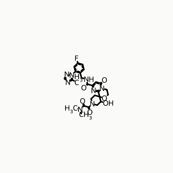 Cc1ncnn1-c1cc(F)ccc1CNC(=O)c1cc(=O)n2c(n1)C1(CCN(C(=O)C(=O)N(C)C)CC1O)OCC2